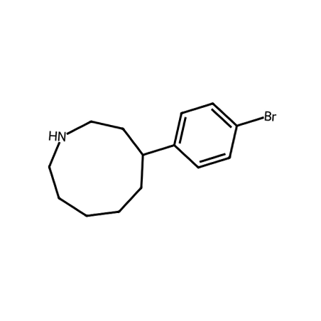 Brc1ccc(C2CCCCCNCC2)cc1